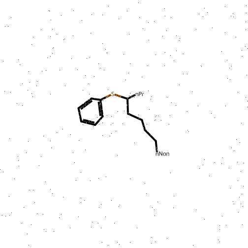 CCCCCCCCCCCCCC(CCC)Sc1ccccc1